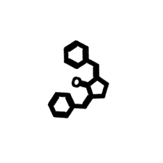 O=C1/C(=C\c2ccccc2)CC/C1=C/c1ccccc1